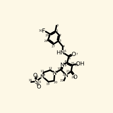 Cc1cc(CNC(=O)c2nc(N3CCN(S(C)(=O)=O)CC3)n(C)c(=O)c2O)ccc1F